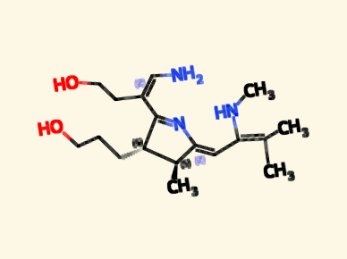 CNC(/C=C1N=C(/C(=C\N)CCO)[C@@H](CCCO)[C@@H]\1C)=C(C)C